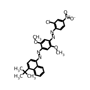 COc1cc(N=Nc2ccc(C(C)(C)C)c3ccccc23)c(OC)cc1N=Nc1ccc([N+](=O)[O-])cc1Cl